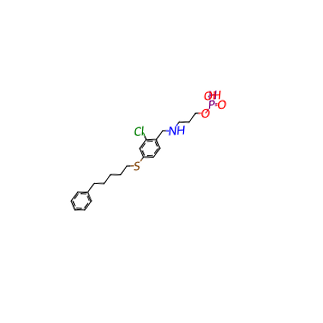 O=[PH](O)OCCCNCc1ccc(SCCCCCc2ccccc2)cc1Cl